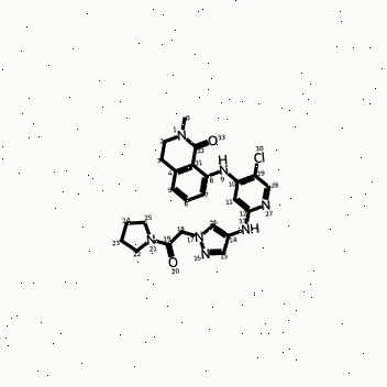 CN1CCc2cccc(Nc3cc(Nc4cnn(CC(=O)N5CCCC5)c4)ncc3Cl)c2C1=O